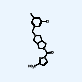 Cc1cc(Cl)cc(CN2CC3CN(C(=O)n4ccc(C(=O)O)n4)CC3C2)c1